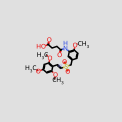 COc1cc(OC)c(/C=C/S(=O)(=O)Cc2ccc(OC)c(NC(=O)CCC(=O)O)c2)c(OC)c1